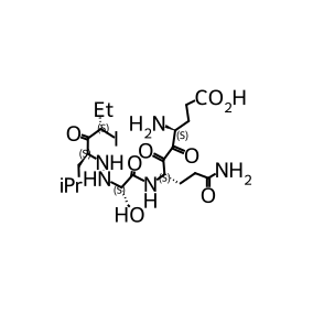 CC[C@H](I)C(=O)[C@H](CC(C)C)NN[C@@H](CO)C(=O)N[C@@H](CCC(N)=O)C(=O)C(=O)[C@@H](N)CCC(=O)O